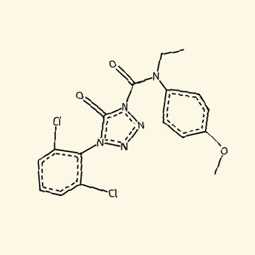 CCN(C(=O)n1nnn(-c2c(Cl)cccc2Cl)c1=O)c1ccc(OC)cc1